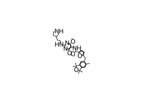 COc1nc(NCCC2CCNC2)nc(OC)c1NC(=O)c1ccc(Cc2cc3c(cc2C)C(C)(C)OC3(C)C)o1